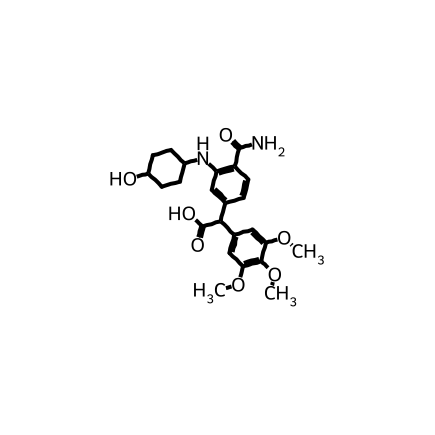 COc1cc(C(C(=O)O)c2ccc(C(N)=O)c(NC3CCC(O)CC3)c2)cc(OC)c1OC